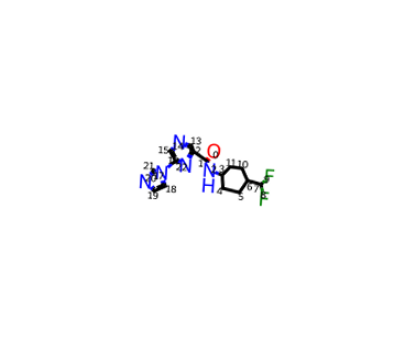 O=C(NC1CCC(C(F)F)CC1)c1cncc(-n2ccnc2)n1